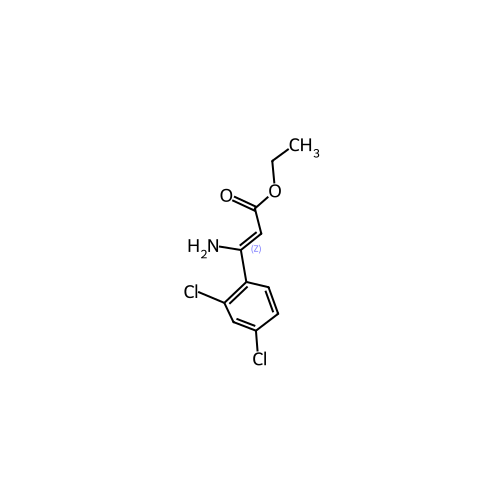 CCOC(=O)/C=C(\N)c1ccc(Cl)cc1Cl